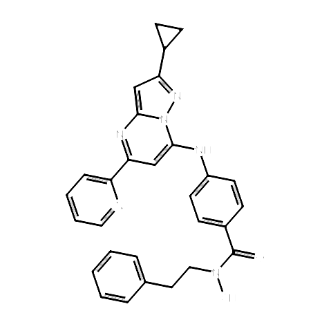 CN(CCc1ccccc1)C(=O)c1ccc(Nc2cc(-c3ccccn3)nc3cc(C4CC4)nn23)cc1